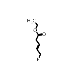 CCOC(=O)CC=CCF